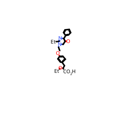 CCOC(Cc1ccc(OCCN2CC(=O)C(c3ccccc3)N=C2CC)cc1)C(=O)O